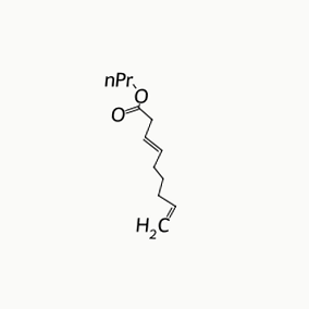 C=CCCCC=CCC(=O)OCCC